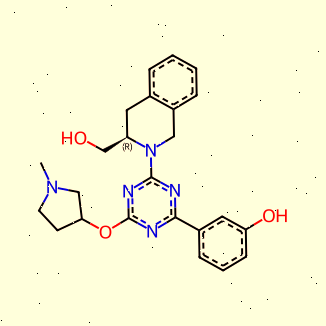 CN1CCC(Oc2nc(-c3cccc(O)c3)nc(N3Cc4ccccc4C[C@@H]3CO)n2)C1